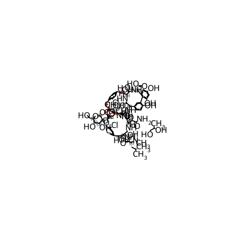 CC(O)CO.CN[C@H](CC(C)C)C(=O)N[C@H]1C(=O)N[C@@H](CC(N)=O)C(=O)N[C@H]2C(=O)N[C@H]3C(=O)N[C@H](C(=O)N[C@H](C(=O)O)c4cc(O)cc(O)c4-c4cc3ccc4O)[C@H](O)c3ccc(c(Cl)c3)Oc3cc2cc(c3O[C@@H]2O[C@H](CO)[C@@H](O)[C@H](O)[C@H]2O[C@H]2C[C@](C)(N)[C@H](O)[C@H](C)O2)Oc2ccc(cc2Cl)[C@H]1O